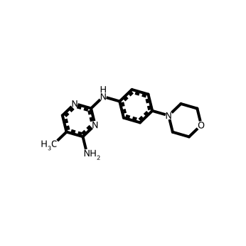 Cc1cnc(Nc2ccc(N3CCOCC3)cc2)nc1N